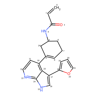 C=CC(=O)NC1CCC=C(c2ccnc3[nH]cc(-c4ccco4)c23)C1